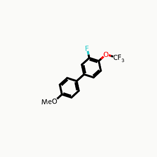 COc1ccc(-c2ccc(OC(F)(F)F)c(F)c2)cc1